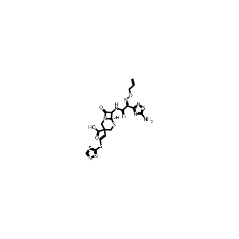 C=CCON=C(C(=O)NC1C(=O)N2CC(C=CSc3nncs3)(C(=O)O)CS[C@H]12)c1nsc(N)n1